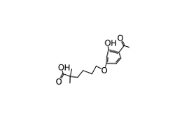 CC(=O)c1ccc(OCCCCC(C)(C)C(=O)O)cc1O